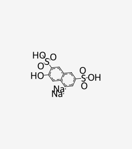 O=S(=O)(O)c1ccc2cc(O)c(S(=O)(=O)O)cc2c1.[Na].[Na]